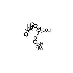 CC(C)(C)OC(=O)Nc1cccc(OCCCc2sc(-c3ccc4c(c3)N(C(=O)Nc3nc5ccccc5s3)CCC4)nc2OC(=O)O)c1